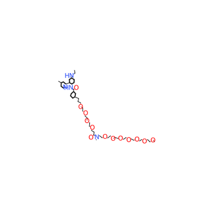 CCNc1ccc(NC(=O)c2cccc(CCCOCCOCCOCCOCCC(=O)N(C)CCOCCOCCOCCOCCOCCOCCOC)c2)c(-c2cc(C)ccn2)c1